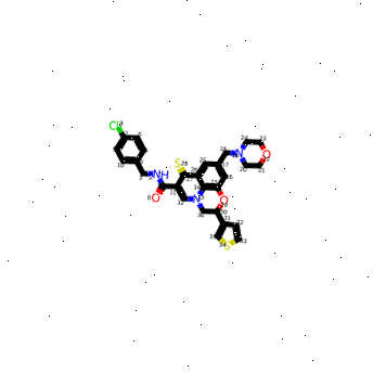 O=C(NCc1ccc(Cl)cc1)c1cn2c3c(cc(CN4CCOCC4)cc3c1=S)OC(c1ccsc1)C2